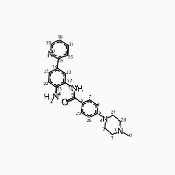 CN1CCN(c2ccc(C(=O)Nc3cc(-c4ccccn4)ccc3N)cc2)CC1